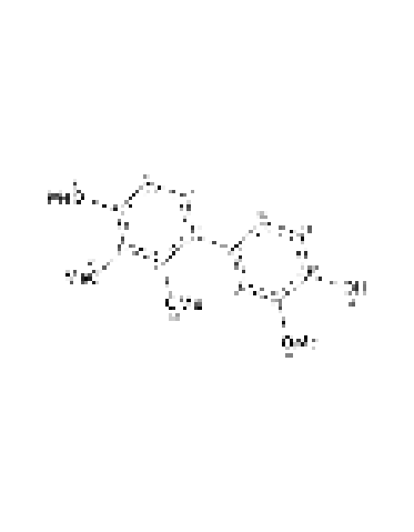 COc1cc(-c2ccc(OC)c(OC)c2OC)ccc1O